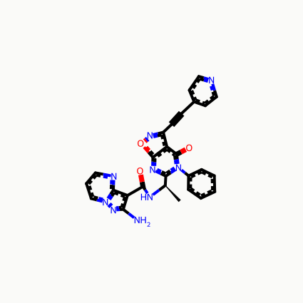 C[C@@H](NC(=O)c1c(N)nn2cccnc12)c1nc2onc(C#Cc3ccncc3)c2c(=O)n1-c1ccccc1